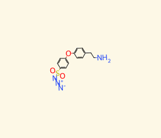 [N-]=[N+]=NS(=O)(=O)c1ccc(Oc2ccc(CCN)cc2)cc1